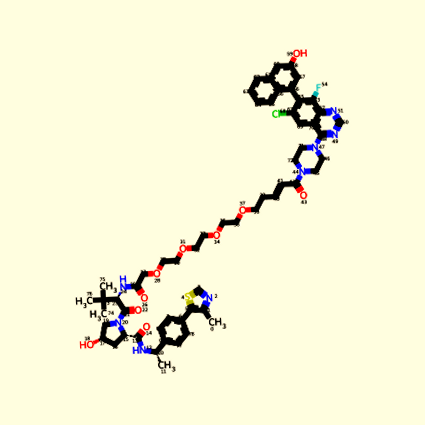 Cc1ncsc1-c1ccc([C@H](C)NC(=O)[C@@H]2C[C@@H](O)CN2C(=O)[C@@H](NC(=O)COCCOCCOCCOCC/C=C/C(=O)N2CCN(c3ncnc4c(F)c(-c5cc(O)cc6ccccc56)c(Cl)cc34)CC2)C(C)(C)C)cc1